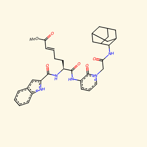 COC(=O)/C=C/CC[C@H](NC(=O)c1cc2ccccc2[nH]1)C(=O)Nc1cccn(CC(=O)NC2C3CC4CC(C3)CC2C4)c1=O